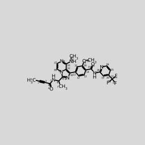 CC#CC(=O)NC(C)c1nc(-c2ccc(C(=O)Nc3cc(C(F)(F)F)ccn3)c(OC)c2)c2c(NC)nccn12